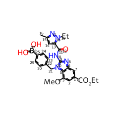 CCOC(=O)c1cc(OC)c2c(c1)nc(NC(=O)c1cc(C)nn1CC)n2Cc1ccc(B(O)O)cc1